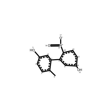 Cc1ccc(O)cc1-c1cc(O)ccc1[N+](=O)[O-]